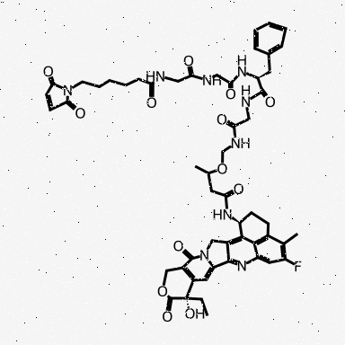 CC[C@@]1(O)C(=O)OCc2c1cc1n(c2=O)Cc2c-1nc1cc(F)c(C)c3c1c2[C@@H](NC(=O)CC(C)OCNC(=O)CNC(=O)[C@H](Cc1ccccc1)NC(=O)CNC(=O)CNC(=O)CCCCCN1C(=O)C=CC1=O)CC3